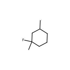 [CH2]C1CCCC(C)(F)C1